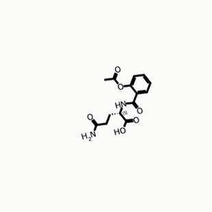 CC(=O)Oc1ccccc1C(=O)N[C@@H](CCC(N)=O)C(=O)O